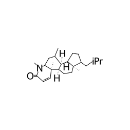 CC(C)CC1CC[C@H]2[C@@H]3C(C)CC4N(C)C(=O)C=C[C@]4(C)[C@@H]3CC[C@]12C